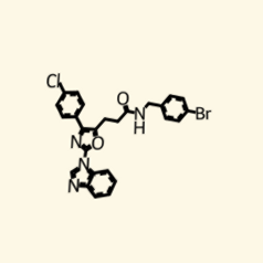 O=C(CCc1oc(-n2cnc3ccccc32)nc1-c1ccc(Cl)cc1)NCc1ccc(Br)cc1